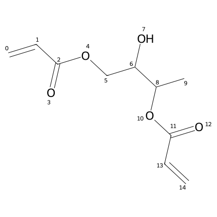 C=CC(=O)OCC(O)C(C)OC(=O)C=C